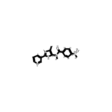 Cc1nc(-c2cccnc2)sc1N(C)C(=O)c1ccc([S+](C)[O-])cc1